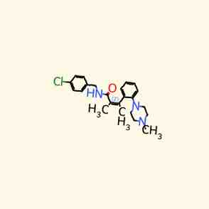 C/C(C(=O)NCc1ccc(Cl)cc1)=C(\C)c1ccccc1N1CCN(C)CC1